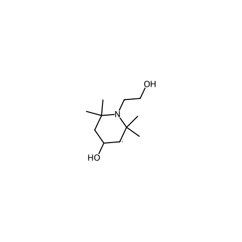 CC1(C)[CH]C(O)CC(C)(C)N1CCO